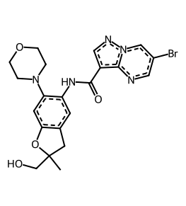 CC1(CO)Cc2cc(NC(=O)c3cnn4cc(Br)cnc34)c(N3CCOCC3)cc2O1